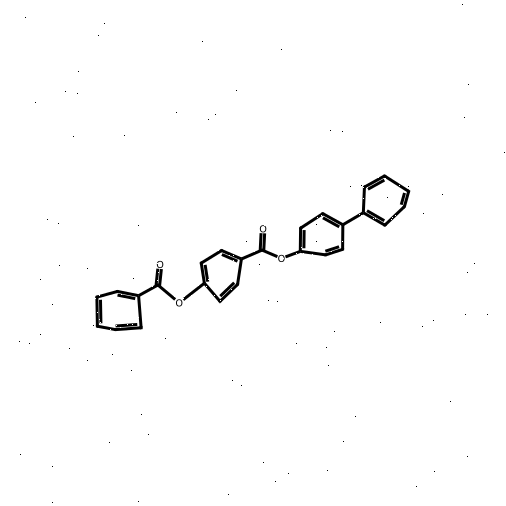 O=C(Oc1ccc(C(=O)Oc2ccc(-c3ccccc3)cc2)cc1)c1ccccc1